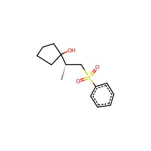 C[C@@H](CS(=O)(=O)c1ccccc1)C1(O)CCCC1